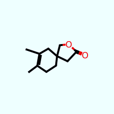 CC1=C(C)CC2(CC1)COC(=O)C2